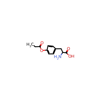 CCC(=O)Oc1ccc(CC(N)C(=O)O)cc1